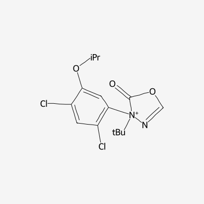 CC(C)Oc1cc([N+]2(C(C)(C)C)N=COC2=O)c(Cl)cc1Cl